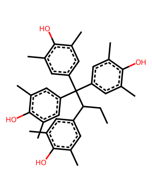 CCC(c1cc(C)c(O)c(C)c1)C(c1cc(C)c(O)c(C)c1)(c1cc(C)c(O)c(C)c1)c1cc(C)c(O)c(C)c1